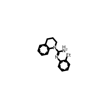 CCc1ccccc1N=C(N)N1CCCc2ccccc21